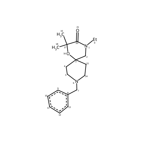 CCN1CC2(CCN(Cc3ccccc3)CC2)OC(C)(C)C1=O